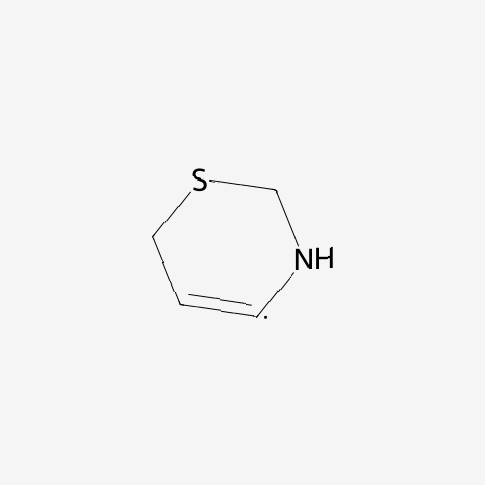 [C]1=CCSCN1